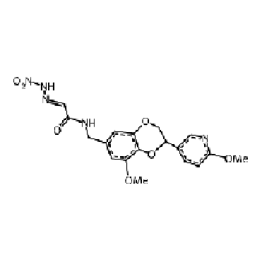 COc1ccc(C2COc3cc(CNC(=O)C=NN[N+](=O)[O-])cc(OC)c3O2)cn1